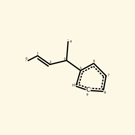 [CH2]C=CC([CH2])c1ccccc1